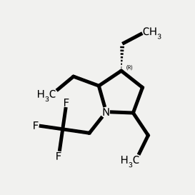 CCC1C[C@@H](CC)C(CC)N1CC(F)(F)F